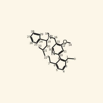 CCc1cccc(CC)c1-c1cc(OC)c(CN(C)C(CC(C)C)c2ccccc2)cn1